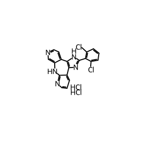 Cl.Cl.Clc1cccc(Cl)c1-c1nc2c([nH]1)-c1ccncc1Nc1ncccc1-2